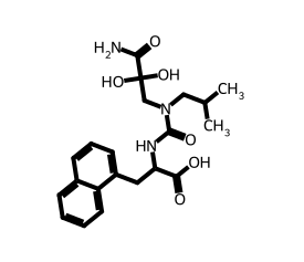 CC(C)CN(CC(O)(O)C(N)=O)C(=O)NC(Cc1cccc2ccccc12)C(=O)O